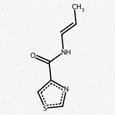 CC=CNC(=O)c1cscn1